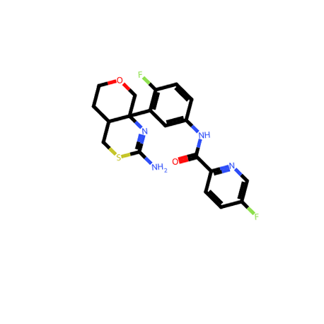 NC1=NC2(c3cc(NC(=O)c4ccc(F)cn4)ccc3F)COCCC2CS1